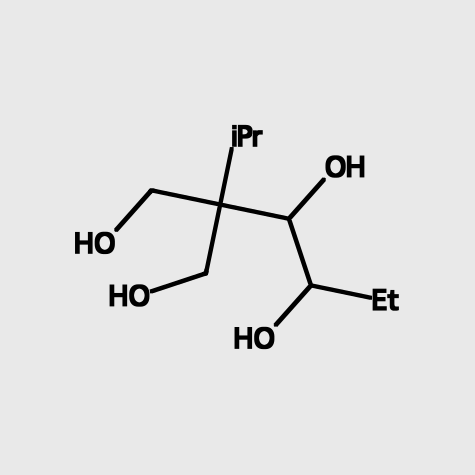 CCC(O)C(O)C(CO)(CO)C(C)C